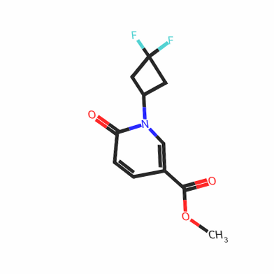 COC(=O)c1ccc(=O)n(C2CC(F)(F)C2)c1